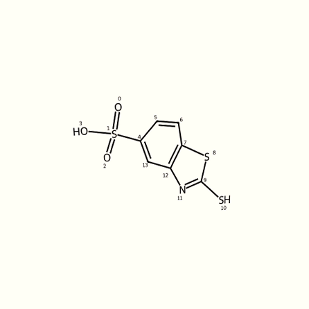 O=S(=O)(O)c1ccc2sc(S)nc2c1